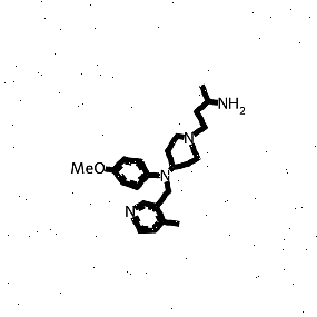 COc1ccc(N(Cc2cnccc2C)C2CCN(CCC(C)N)CC2)cc1